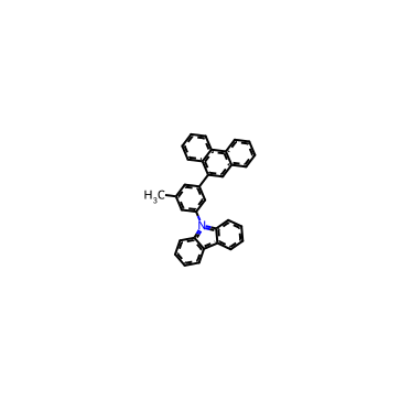 Cc1cc(-c2cc3ccccc3c3ccccc23)cc(-n2c3ccccc3c3ccccc32)c1